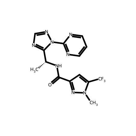 C[C@@H](NC(=O)c1cc(C(F)(F)F)n(C)n1)c1ncnn1-c1ncccn1